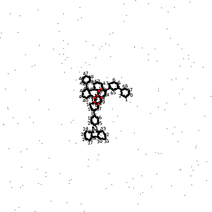 c1ccc(-c2cccc(-c3ccc(N(c4ccc(-c5ccc(-n6c7ccccc7c7ccccc76)cc5)cc4)c4cccc(-c5ccccc5)c4-c4ccccc4-c4ccccc4)cc3)c2)cc1